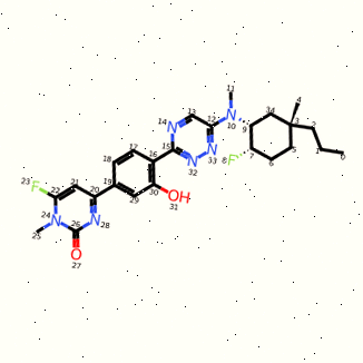 CCC[C@]1(C)CC[C@H](F)[C@H](N(C)c2cnc(-c3ccc(-c4cc(F)n(C)c(=O)n4)cc3O)nn2)C1